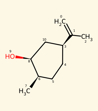 C=C(C)[C@H]1CC[C@@H](C)[C@@H](O)C1